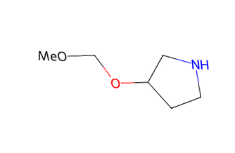 COCOC1CCNC1